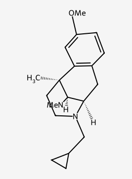 CN[C@@H]1[C@H]2Cc3ccc(OC)cc3[C@]1(C)CCN2CC1CC1